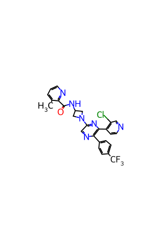 Cc1cccnc1C(=O)NC1CN(c2cnc(-c3ccc(C(F)(F)F)cc3)c(-c3ccncc3Cl)n2)C1